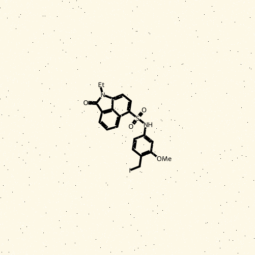 CCN1C(=O)c2cccc3c(S(=O)(=O)Nc4ccc(CI)c(OC)c4)ccc1c23